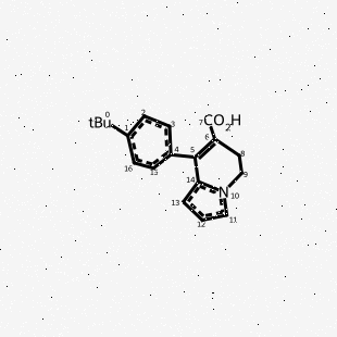 CC(C)(C)c1ccc(C2=C(C(=O)O)CCn3cccc32)cc1